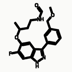 COCc1cccc(-c2n[nH]c3cc(F)c(OC(C)CCNC=O)cc23)c1